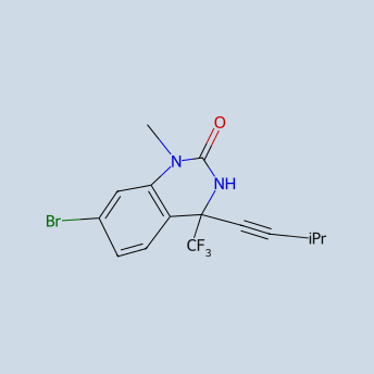 CC(C)C#CC1(C(F)(F)F)NC(=O)N(C)c2cc(Br)ccc21